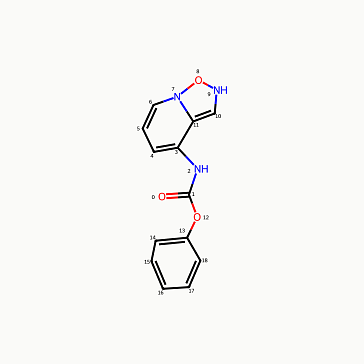 O=C(NC1=CC=CN2ONC=C12)Oc1ccccc1